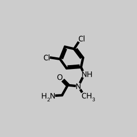 CN(Nc1cc(Cl)cc(Cl)c1)C(=O)CN